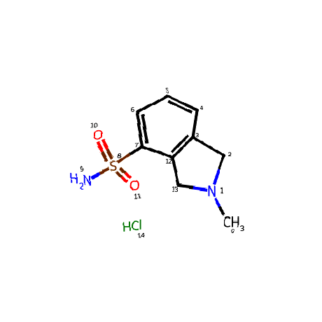 CN1Cc2cccc(S(N)(=O)=O)c2C1.Cl